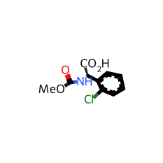 COC(=O)N[C@@H](C(=O)O)c1ccccc1Cl